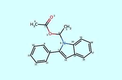 CC(=O)OC(C)n1c(-c2ccccc2)cc2ccccc21